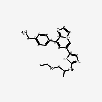 CCOCC(C)Nc1ncc(-c2cc(-c3ccc(CN)cc3)c3nccn3c2)s1